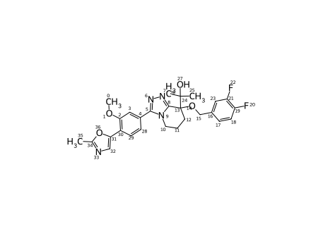 COc1cc(-c2nnc3n2CCCC3(OCc2ccc(F)c(F)c2)C(C)(C)O)ccc1-c1cnc(C)o1